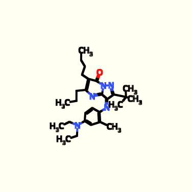 CCCCc1c(CCC)nc2n(c1=O)N=C(C(C)(C)C)C2=Nc1ccc(N(CC)CC)cc1C